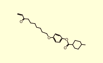 C=CC(=O)CCCCCCCOc1ccc(OC(=O)C2CCC(C)CC2)cc1